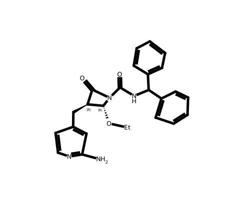 CCO[C@@H]1[C@@H](Cc2ccnc(N)c2)C(=O)N1C(=O)NC(c1ccccc1)c1ccccc1